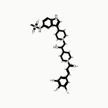 CS(=O)(=O)Nc1ccc2[nH]cc(C3CCN(CC(O)C4CCN(C(=O)C=Cc5cc(F)c(F)c(F)c5)CC4)CC3)c2c1